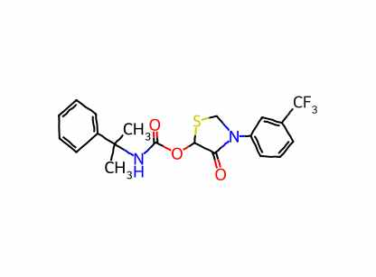 CC(C)(NC(=O)OC1SCN(c2cccc(C(F)(F)F)c2)C1=O)c1ccccc1